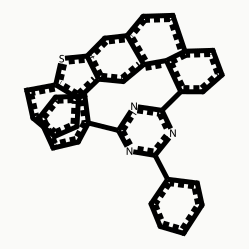 c1ccc(-c2nc(-c3ccccc3)nc(-c3cccc4ccc5cc6sc7ccccc7c6cc5c34)n2)cc1